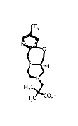 CC(C)(CN1CCN2Cc3ncc(C(F)(F)F)cc3OC[C@H]2C1)C(=O)O